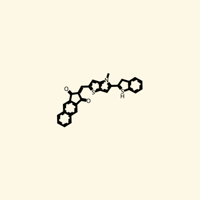 Cn1c(C2=[SH]c3ccccc3C2)cc2sc(C=C3C(=O)c4cc5ccccc5cc4C3=O)cc21